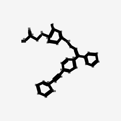 Cc1cc(OCC=C(c2ccccc2)c2ccc(C#Cc3ccccn3)cc2)ccc1OCC(=O)O